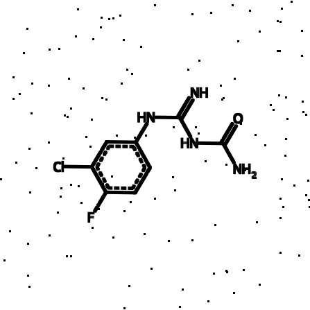 N=C(NC(N)=O)Nc1ccc(F)c(Cl)c1